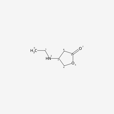 CCNC1COC(=O)C1